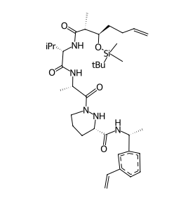 C=CCC[C@@H](O[Si](C)(C)C(C)(C)C)[C@@H](C)C(=O)N[C@H](C(=O)N[C@@H](C)C(=O)N1CCC[C@@H](C(=O)N[C@H](C)c2cccc(C=C)c2)N1)C(C)C